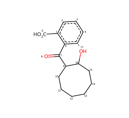 O=C(O)c1ccccc1C(=O)C1CCCCCCC1O